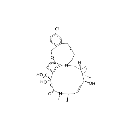 C[C@@H]1C/C=C/[C@H](O)[C@@H]2CC[C@H]2CN2CCCCc3cc(Cl)ccc3COc3ccc(cc32)[C@](O)(C(=O)O)CC(=O)N1C